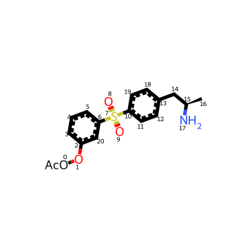 CC(=O)OOc1cccc(S(=O)(=O)c2ccc(C[C@@H](C)N)cc2)c1